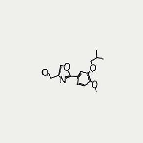 COc1ccc(-c2nc(CCl)co2)cc1OCC(C)C